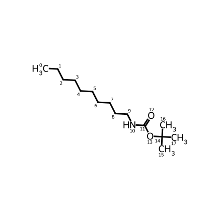 CCCCCCCCCCNC(=O)OC(C)(C)C